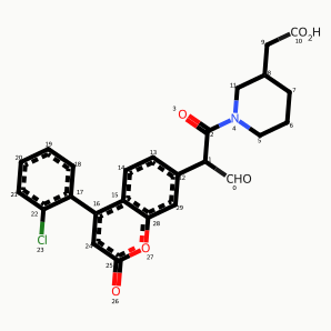 O=CC(C(=O)N1CCCC(CC(=O)O)C1)c1ccc2c(-c3ccccc3Cl)cc(=O)oc2c1